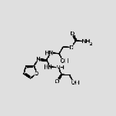 NC(=O)OCC(O)NC(=Nc1ccco1)NNC(=O)CO